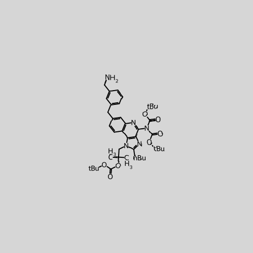 CCCCc1nc2c(N(C(=O)OC(C)(C)C)C(=O)OC(C)(C)C)nc3cc(Cc4cccc(CN)c4)ccc3c2n1CC(C)(C)OC(=O)OC(C)(C)C